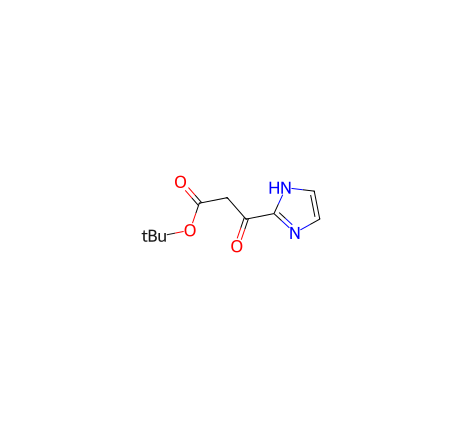 CC(C)(C)OC(=O)CC(=O)c1ncc[nH]1